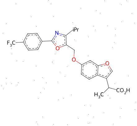 CC(C)c1nc(-c2ccc(C(F)(F)F)cc2)oc1COc1ccc2c(C(C)C(=O)O)coc2c1